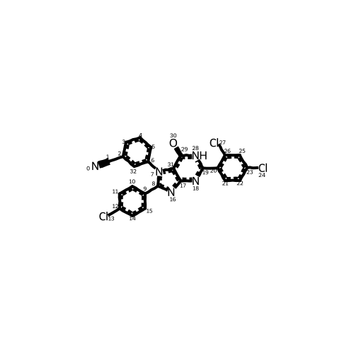 N#Cc1cccc(-n2c(-c3ccc(Cl)cc3)nc3nc(-c4ccc(Cl)cc4Cl)[nH]c(=O)c32)c1